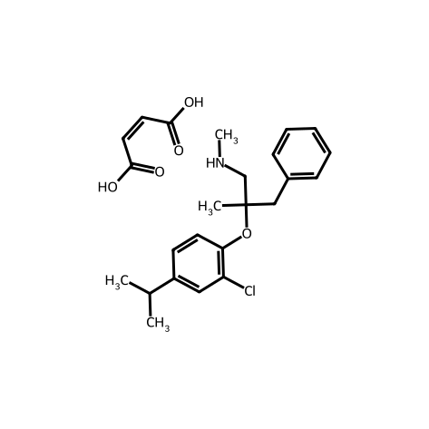 CNCC(C)(Cc1ccccc1)Oc1ccc(C(C)C)cc1Cl.O=C(O)/C=C\C(=O)O